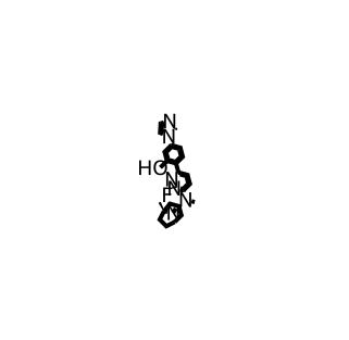 CN(c1ccc(-c2ccc(-n3ccnc3)cc2O)nn1)[C@H]1CC2CC[C@](C)([C@H]1F)N2C